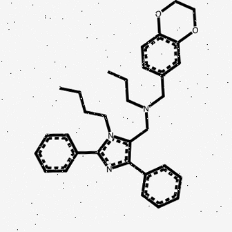 CCCCn1c(-c2ccccc2)nc(-c2ccccc2)c1CN(CCC)Cc1ccc2c(c1)OCCO2